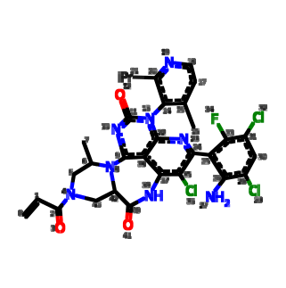 C=CC(=O)N1CC(C)N2c3nc(=O)n(-c4c(C)ccnc4C(C)C)c4nc(-c5c(N)c(Cl)cc(Cl)c5F)c(Cl)c(c34)NC(=O)C2C1